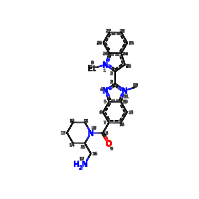 CCn1c(-c2nc3cc(C(=O)N4CCCCC4CN)ccc3n2C)cc2ccccc21